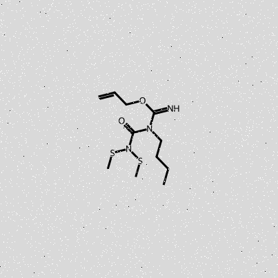 C=CCOC(=N)N(CCCC)C(=O)N(SC)SC